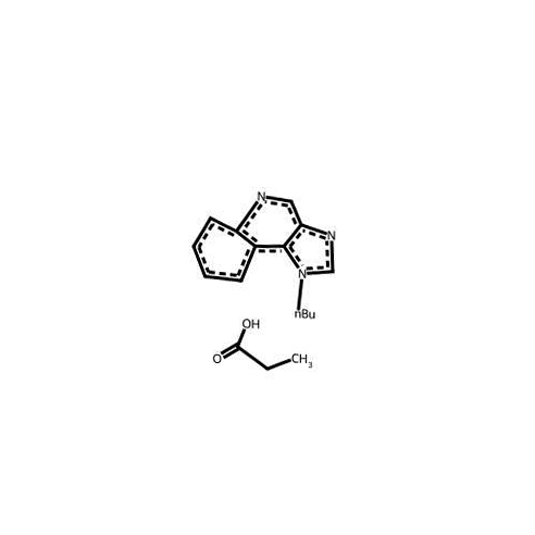 CCC(=O)O.CCCCn1cnc2cnc3ccccc3c21